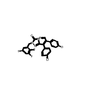 O=c1n(Cc2cc(F)cc(F)c2F)nc2c(-c3ccc(Cl)cc3)c(-c3ccc(Cl)cc3)cnn12